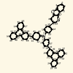 c1ccc2c(c1)oc1cc(-c3ccc(N(c4ccc(-c5ccc6c7ccccc7c7ccccc7c6c5)cc4)c4ccc(-c5ccc6c7ccccc7c7ccccc7c6c5)cc4)cc3)cnc12